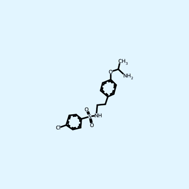 CC(N)Oc1ccc(CCNS(=O)(=O)c2ccc(Cl)cc2)cc1